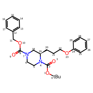 CC(C)(C)OC(=O)N1CCN(C(=O)OCc2ccccc2)C[C@H]1CCCOc1ccccc1